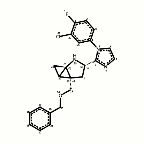 Fc1ccc(-n2ccnc2[C@@H]2C[C@@]3(COCc4ccccc4)C4C[C@]43N2)cc1Cl